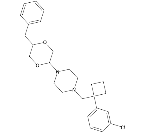 Clc1cccc(C2(CN3CCN(C4COC(Cc5ccccc5)CO4)CC3)CCC2)c1